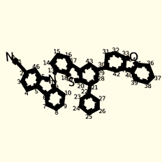 N#Cc1ccc2c3ccccc3n(-c3cccc4c3sc3c(-c5ccccc5)cc(-c5ccc6oc7ccccc7c6c5)cc34)c2c1